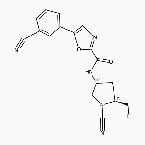 N#Cc1cccc(-c2cnc(C(=O)N[C@@H]3C[C@@H](CF)N(C#N)C3)o2)c1